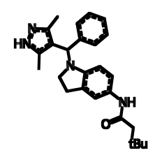 Cc1n[nH]c(C)c1C(c1ccccc1)N1CCc2cc(NC(=O)CC(C)(C)C)ccc21